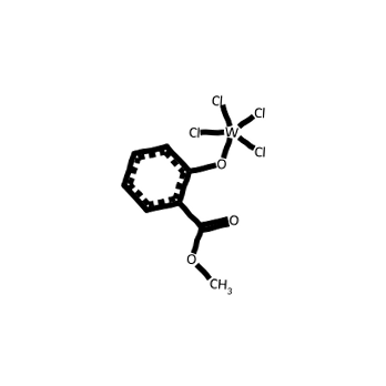 COC(=O)c1ccccc1[O][W]([Cl])([Cl])([Cl])[Cl]